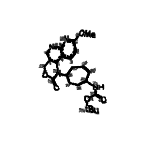 COc1ccc2c3c(cnc2n1)COC(=O)N3C1CCCC(NC(=O)OC(C)(C)C)CC1